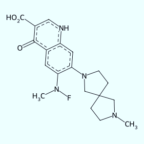 CN1CCC2(CCN(c3cc4[nH]cc(C(=O)O)c(=O)c4cc3N(C)F)C2)C1